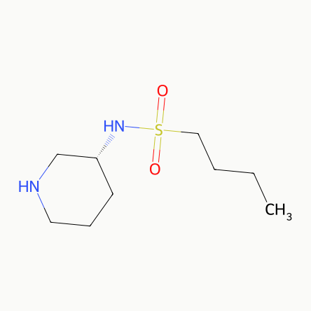 CCCCS(=O)(=O)N[C@@H]1CCCNC1